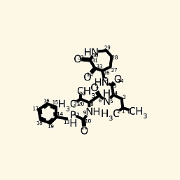 CC(C)CC(NC(=O)C(NC(=O)PCc1ccccc1)C(C)C)C(=O)NC1CCCNC(=O)C1=O